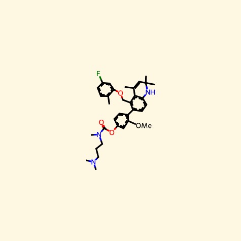 COc1cc(OC(=O)N(C)CCCN(C)C)ccc1-c1ccc2c(c1COc1cc(F)ccc1C)C(C)=CC(C)(C)N2